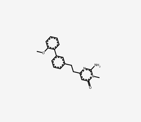 COc1ccccc1-c1cccc(CCc2cc(=O)n(C)c(N)n2)c1